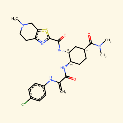 C=C(Nc1ccc(Cl)cc1)C(=O)N[C@@H]1CC[C@H](C(=O)N(C)C)C[C@H]1NC(=O)c1nc2c(s1)CN(C)CC2